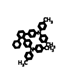 Cc1ccc(N(c2ccc(C)cc2)c2ccc(-c3cccc(C4CCCCC4)c3-c3ccc(N(c4ccc(C)cc4)c4ccc(C)cc4)cc3)cc2)cc1